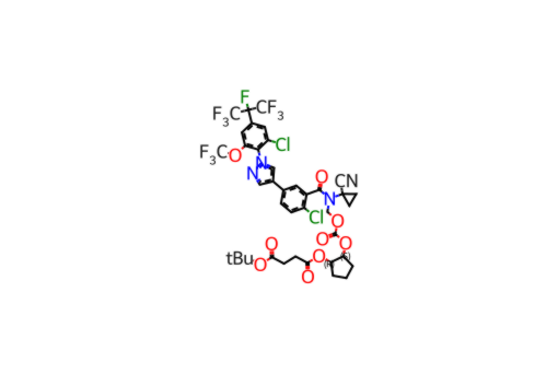 CC(C)(C)OC(=O)CCC(=O)O[C@@H]1CCC[C@@H]1OC(=O)OCN(C(=O)c1cc(-c2cnn(-c3c(Cl)cc(C(F)(C(F)(F)F)C(F)(F)F)cc3OC(F)(F)F)c2)ccc1Cl)C1(C#N)CC1